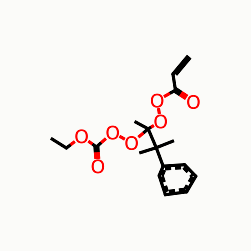 C=CC(=O)OOC(C)(OOC(=O)OCC)C(C)(C)c1ccccc1